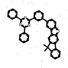 CC1(C)c2ccccc2-c2cc3sc4ccc(-c5cccc(-c6nc(-c7ccccc7)nc(-c7ccccc7)n6)c5)cc4c3cc21